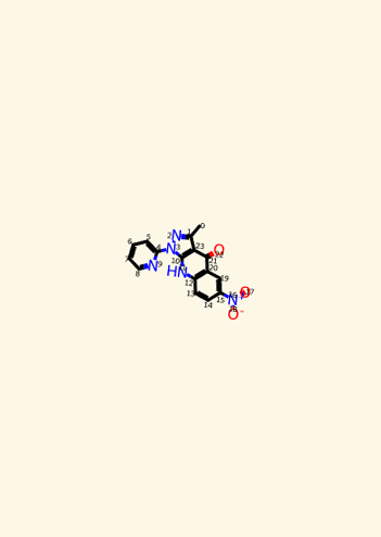 Cc1nn(-c2ccccn2)c2[nH]c3ccc([N+](=O)[O-])cc3c(=O)c12